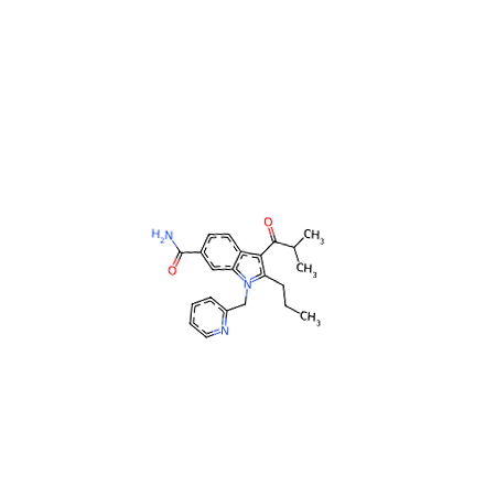 CCCc1c(C(=O)C(C)C)c2ccc(C(N)=O)cc2n1Cc1ccccn1